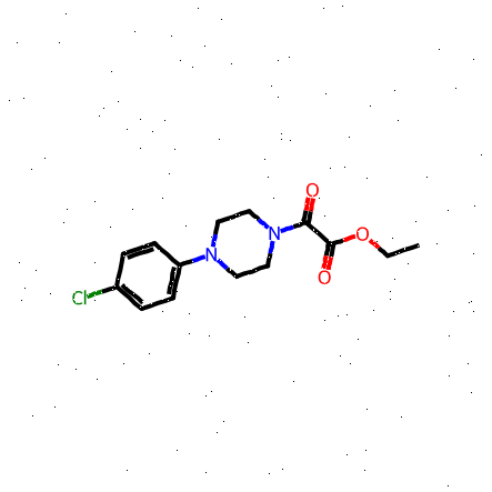 CCOC(=O)C(=O)N1CCN(c2ccc(Cl)cc2)CC1